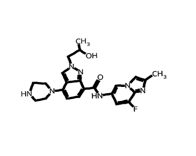 Cc1cn2cc(NC(=O)c3ccc(N4CCNCC4)c4cn(CC(C)O)nc34)cc(F)c2n1